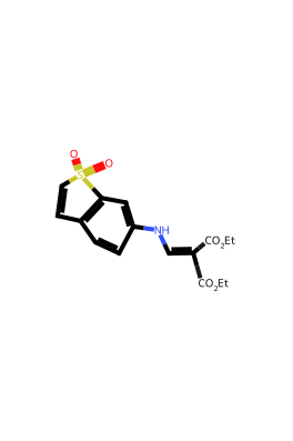 CCOC(=O)C(=CNc1ccc2c(c1)S(=O)(=O)C=C2)C(=O)OCC